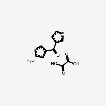 O.O=C(O)C(=O)O.O=C(c1ccsc1)c1ccsc1